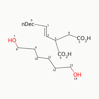 CCCCCCCCCCC=CC(CC(=O)O)C(=O)O.OCCCCCCO